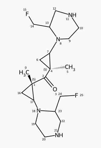 C[C@]1(C(=O)[C@@]2(C)CC2N2CCNCC2CF)CC1N1CCNCC1CF